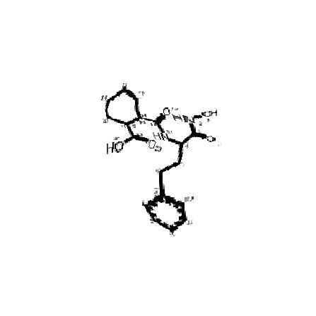 O=C(NO)C(CCc1ccccc1)NC(=O)[C@@H]1CCCC[C@@H]1C(=O)O